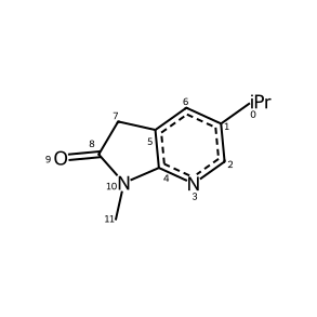 CC(C)c1cnc2c(c1)CC(=O)N2C